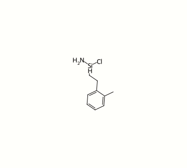 Cc1ccccc1CC[SiH](N)Cl